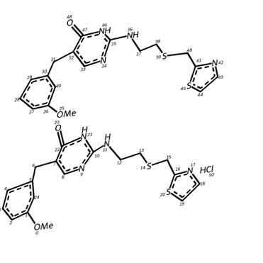 COc1cccc(Cc2cnc(NCCSCc3nccs3)[nH]c2=O)c1.COc1cccc(Cc2cnc(NCCSCc3nccs3)[nH]c2=O)c1.Cl